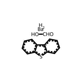 O=CO.[BaH2].c1ccc2c(c1)sc1ccccc12